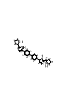 C[C@@]1(c2ncc(-c3ccc(-c4ccc(-c5cnc(C6CCCN6)[nH]5)cc4)cc3)[nH]2)CCCN1